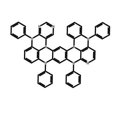 c1ccc(N2c3cc4c(cc3B3c5cncnc5N(c5ccccc5)c5cccc2c53)B2c3ccccc3N(c3ccccc3)c3ccnc(c32)N4c2ccccc2)cc1